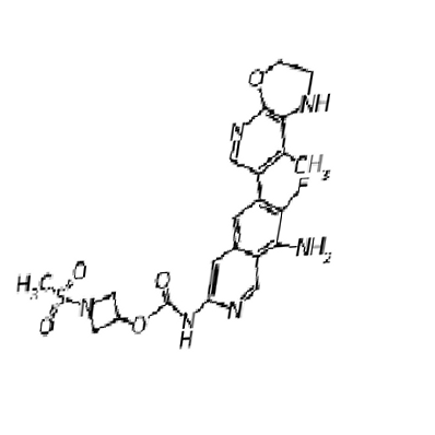 Cc1c(-c2cc3cc(NC(=O)OC4CN(S(C)(=O)=O)C4)ncc3c(N)c2F)cnc2c1NCCO2